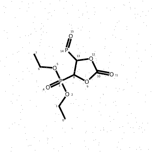 CCOP(=O)(OCC)C1OC(=O)OC1P=O